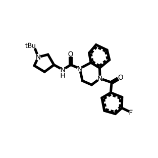 CC(C)(C)N1CCC(NC(=O)N2CCN(C(=O)c3cccc(F)c3)c3ccccc32)C1